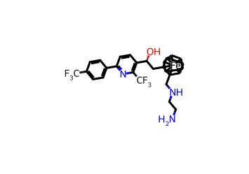 NCCNC[C]12[CH]3[CH]4[CH]5[C]1(C[C@H](O)c1ccc(-c6ccc(C(F)(F)F)cc6)nc1C(F)(F)F)[Fe]43521678[CH]2[CH]1[CH]6[CH]7[CH]28